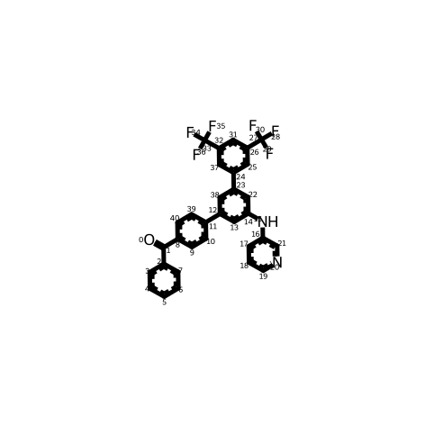 O=C(c1ccccc1)c1ccc(-c2cc(Nc3cccnc3)cc(-c3cc(C(F)(F)F)cc(C(F)(F)F)c3)c2)cc1